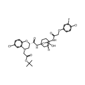 CC(C)(C)OC(=O)CN1C[C@@H](C(=O)NC23CCC(NC(=O)COc4ccc(Cl)c(F)c4)(CC2)[C@H](O)C3)Oc2ccc(Cl)cc21